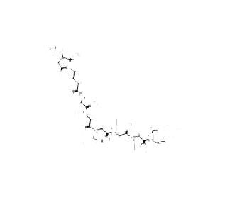 CSC1CC(=O)N(CCCC(=O)NCC(=O)NCC(=O)N(CC(=O)O)CC(=O)NCC(=O)NCC(=O)N(CC(C)=O)CC(=O)O)C1=O